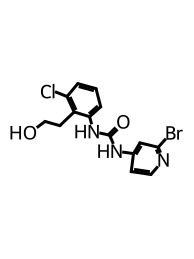 O=C(Nc1ccnc(Br)c1)Nc1cccc(Cl)c1CCO